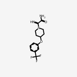 N=C(C(N)=O)N1CCC(Oc2cccc(C(F)(F)F)c2)CC1